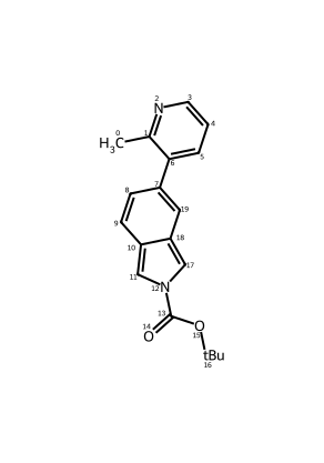 Cc1ncccc1-c1ccc2cn(C(=O)OC(C)(C)C)cc2c1